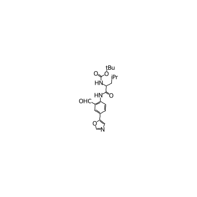 CC(C)CC(NC(=O)OC(C)(C)C)C(=O)Nc1ccc(-c2cnco2)cc1C=O